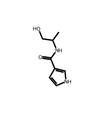 CC(CO)NC(=O)c1cc[nH]c1